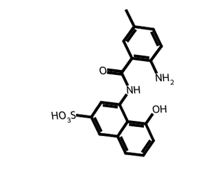 Cc1ccc(N)c(C(=O)Nc2cc(S(=O)(=O)O)cc3cccc(O)c23)c1